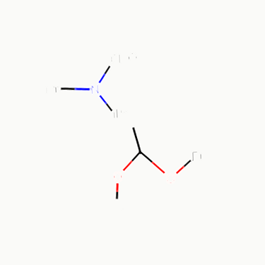 CC(C)N(C=O)C(C)C.CCOC(C)OCC